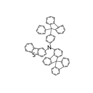 c1ccc(C2(c3ccc(N(c4ccc5sc6ccccc6c5c4)c4cccc5c4-c4ccccc4C54c5ccccc5-c5ccccc54)cc3)c3ccccc3-c3ccccc32)cc1